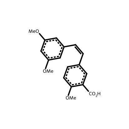 COc1cc(/C=C\c2ccc(OC)c(C(=O)O)c2)cc(OC)c1